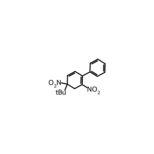 CC(C)(C)C1([N+](=O)[O-])C=CC(c2ccccc2)=C([N+](=O)[O-])C1